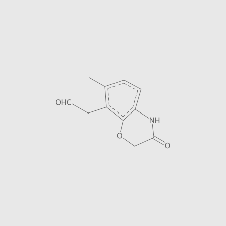 Cc1ccc2c(c1CC=O)OCC(=O)N2